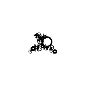 COc1ccc2nc(Cl)c(O[C@@H]3C[C@H]4C(=O)N[C@]5(C(=O)NS(=O)(=O)C6(C)CC6)C[C@H]5/C=C\CCCCC[C@H](NC(=O)OC5CCCC5)C(=O)N4C3)nc2c1